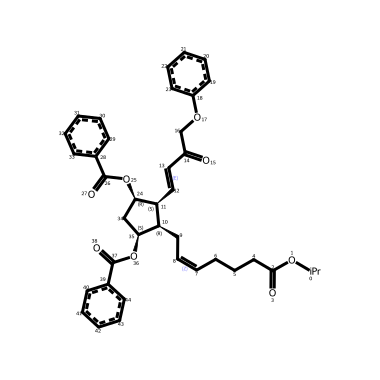 CC(C)OC(=O)CCC/C=C\C[C@@H]1[C@H](/C=C/C(=O)COc2ccccc2)[C@H](OC(=O)c2ccccc2)C[C@@H]1OC(=O)c1ccccc1